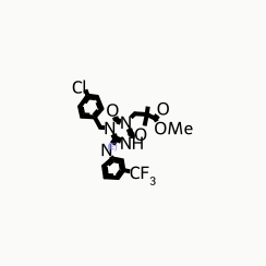 COC(=O)C(C)(C)Cn1c(=O)[nH]/c(=N\c2cccc(C(F)(F)F)c2)n(Cc2ccc(Cl)cc2)c1=O